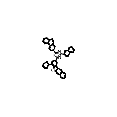 c1ccc(-c2cc(-c3nc(-c4ccc5ccccc5c4)nc(-c4ccc5c(ccc6ccccc65)c4)n3)cc3c2oc2cc4ccccc4cc23)cc1